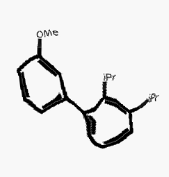 COc1[c]c(-c2cccc(C(C)C)c2C(C)C)ccc1